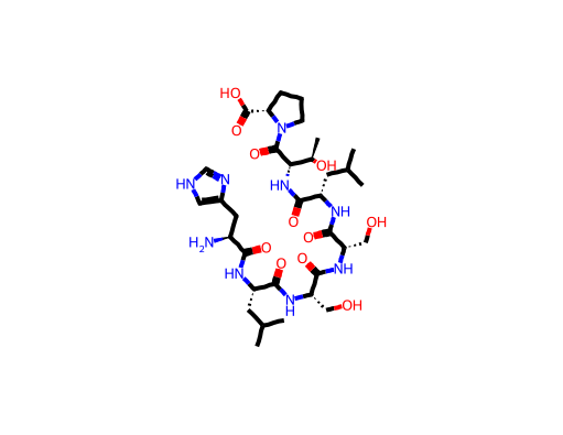 CC(C)C[C@H](NC(=O)[C@H](CO)NC(=O)[C@H](CO)NC(=O)[C@H](CC(C)C)NC(=O)[C@@H](N)Cc1c[nH]cn1)C(=O)N[C@H](C(=O)N1CCC[C@H]1C(=O)O)[C@@H](C)O